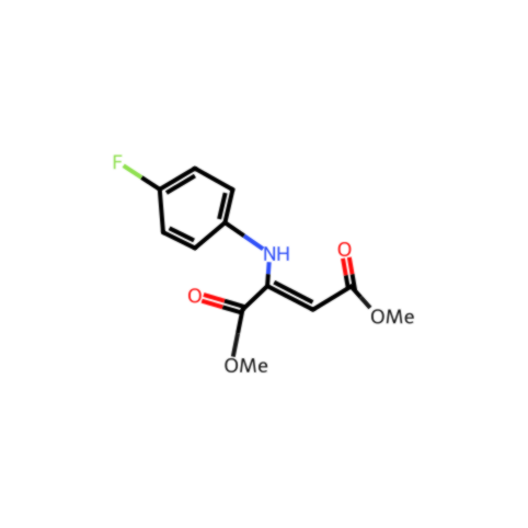 COC(=O)/C=C(\Nc1ccc(F)cc1)C(=O)OC